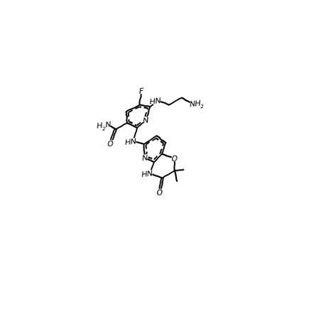 CC1(C)Oc2ccc(Nc3nc(NCCN)c(F)cc3C(N)=O)nc2NC1=O